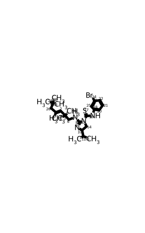 C/C(=C\C(C)(C)CNC1=NC(C(C)C)CN1C(=S)Nc1cccc(Br)c1)CC(C)(C)C